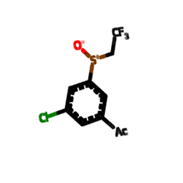 CC(=O)c1cc(Cl)cc([S+]([O-])CC(F)(F)F)c1